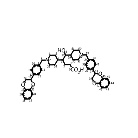 O=C(O)CCC(C1CCN(Cc2ccc(C3COc4ccccc4O3)cc2)CC1)C(O)C1CCN(Cc2ccc(C3COc4ccccc4O3)cc2)CC1